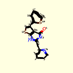 O=c1nc(-c2ccccn2)[nH]c2scc(-c3cccs3)c12